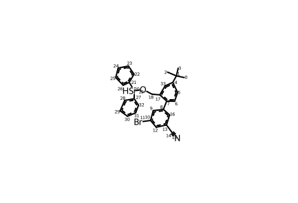 CC(C)(C)c1ccc(-c2cc(Br)cc(C#N)c2)c(CO[SiH](c2ccccc2)c2ccccc2)c1